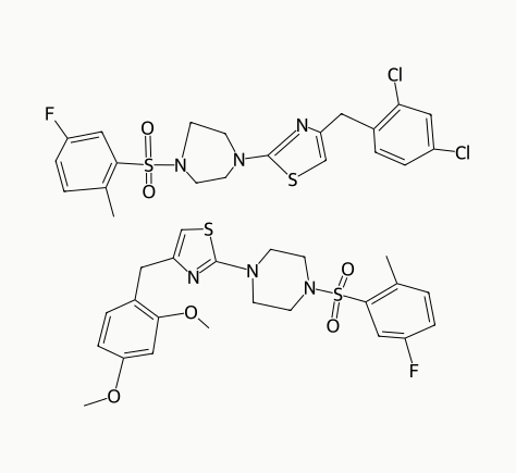 COc1ccc(Cc2csc(N3CCN(S(=O)(=O)c4cc(F)ccc4C)CC3)n2)c(OC)c1.Cc1ccc(F)cc1S(=O)(=O)N1CCN(c2nc(Cc3ccc(Cl)cc3Cl)cs2)CC1